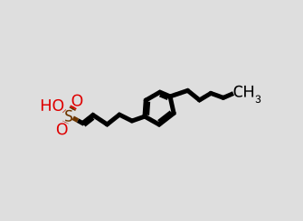 CCCCCc1ccc(CCCC=CS(=O)(=O)O)cc1